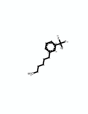 [CH2]CCCCCc1cccc(C(F)(F)F)c1